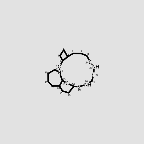 C1CCC2CCC2ON2CCCCC3CCC(CC32)SNCCNC1